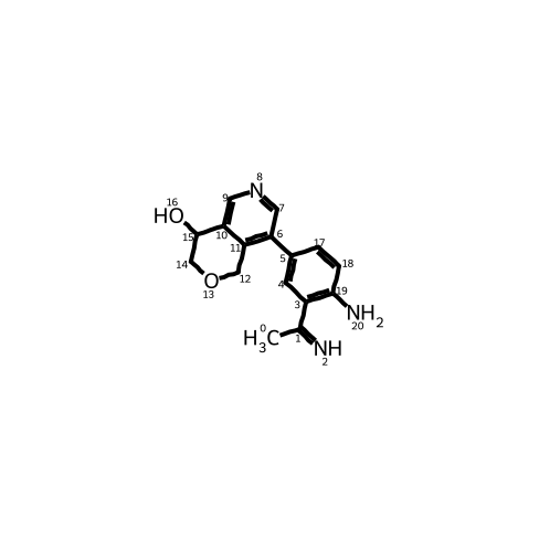 CC(=N)c1cc(-c2cncc3c2COCC3O)ccc1N